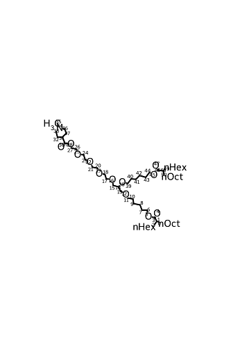 CCCCCCCCC(CCCCCC)C(=O)OCCCCCCOCC(COCCOCCOCCOCCOC(=O)C1CCN(C)CC1)OCCCCCCOC(=O)C(CCCCCC)CCCCCCCC